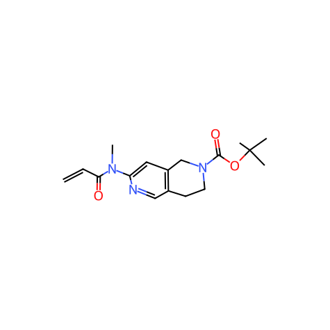 C=CC(=O)N(C)c1cc2c(cn1)CCN(C(=O)OC(C)(C)C)C2